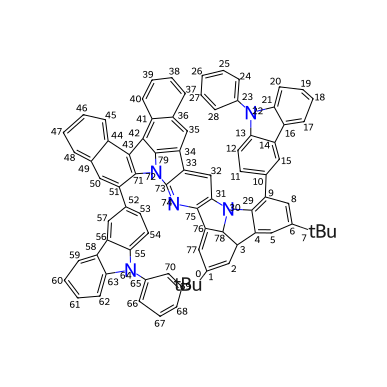 CC(C)(C)C1=CC2c3cc(C(C)(C)C)cc(-c4ccc5c(c4)c4ccccc4n5-c4ccccc4)c3N3c4cc5c6cc7ccccc7c7c8c9ccccc9cc(-c9ccc%10c(c9)c9ccccc9n%10-c9ccccc9)c8n(c5nc4C(=C1)C23)c67